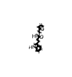 O=C(CCc1c[nH]c2ccccc12)NCCc1ccco1